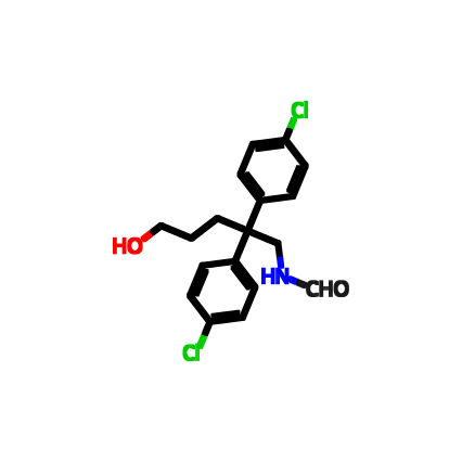 O=CNCC(CCCO)(c1ccc(Cl)cc1)c1ccc(Cl)cc1